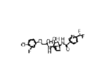 O=C(COc1ccc(Cl)c(F)c1)NC1=C2CC(NC(=O)c3ccc(C(F)F)nc3)(C2)C[C@@H]1O